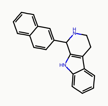 c1ccc2cc(C3NCCc4c3[nH]c3ccccc43)ccc2c1